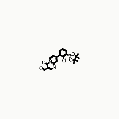 CC1(C)OB(c2cccc(-c3ccn4c(=O)c(C=O)cnc4c3)c2Cl)OC1(C)C